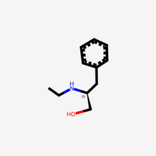 CCN[C@H](CO)Cc1ccccc1